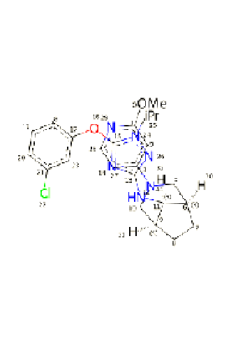 COc1cc(N2C[C@H]3CC[C@@H](C2)[C@H]3Nc2nc(Oc3cccc(Cl)c3)n(C(C)C)n2)ccn1